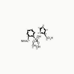 CC(=O)Nc1ccccc1[As](=O)(O)OO.Cl.O=S(=O)(O)c1cncs1